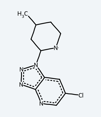 CC1CC[N]C(n2nnc3ncc(Cl)cc32)C1